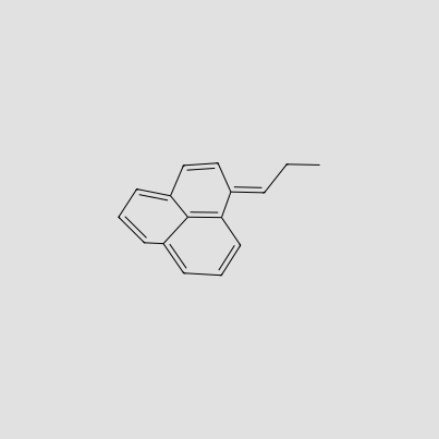 CCC=c1ccc2cccc3cccc1c32